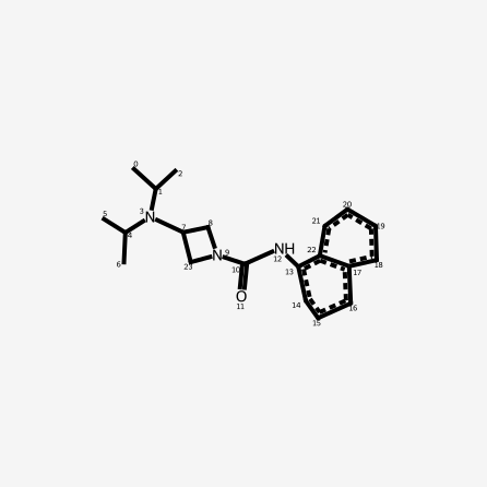 CC(C)N(C(C)C)C1CN(C(=O)Nc2cccc3ccccc23)C1